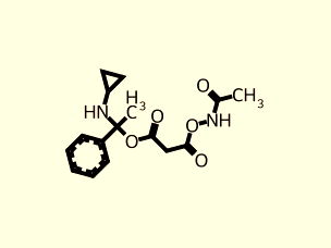 CC(=O)NOC(=O)CC(=O)OC(C)(NC1CC1)c1ccccc1